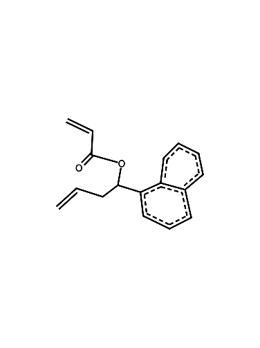 C=CCC(OC(=O)C=C)c1cccc2ccccc12